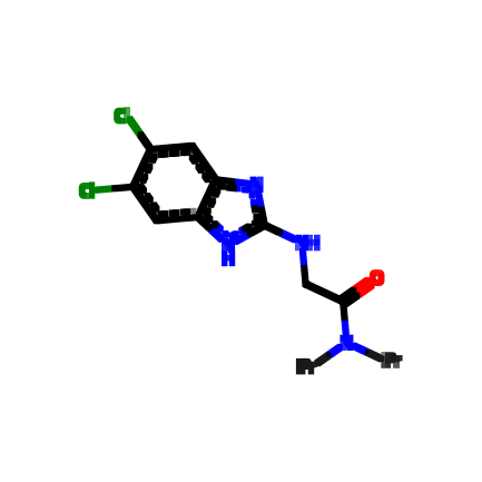 CC(C)N(C(=O)CNc1nc2cc(Cl)c(Cl)cc2[nH]1)C(C)C